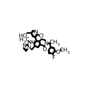 CNc1nccn1Cc1cc2c(c(-c3cc(CO)cnc3Cl)c1)CCN([C@@H](C)c1ccc(F)c(OC)c1)C2=O